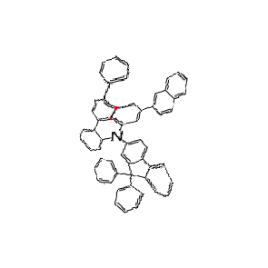 c1ccc(-c2ccc(-c3ccccc3N(c3cccc(-c4ccc5ccccc5c4)c3)c3ccc4c(c3)C(c3ccccc3)(c3ccccc3)c3ccccc3-4)cc2)cc1